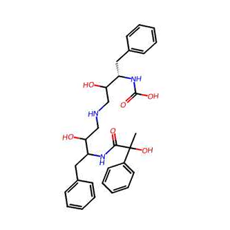 CC(O)(C(=O)NC(Cc1ccccc1)C(O)CNCC(O)[C@H](Cc1ccccc1)NC(=O)O)c1ccccc1